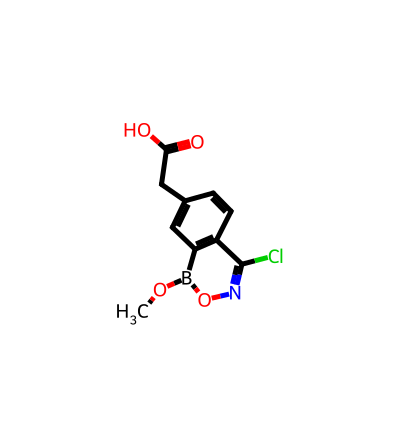 COB1ON=C(Cl)c2ccc(CC(=O)O)cc21